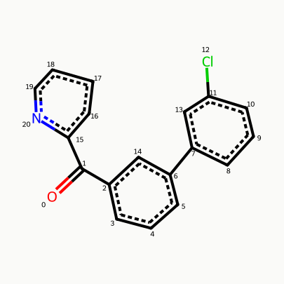 O=C(c1cccc(-c2cccc(Cl)c2)c1)c1ccccn1